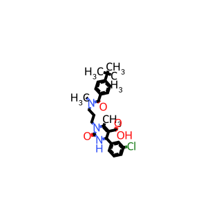 CC1=C(C(=O)O)C(c2cccc(Cl)c2)NC(=O)N1CCCN(C)C(=O)c1ccc(C(C)(C)C)cc1